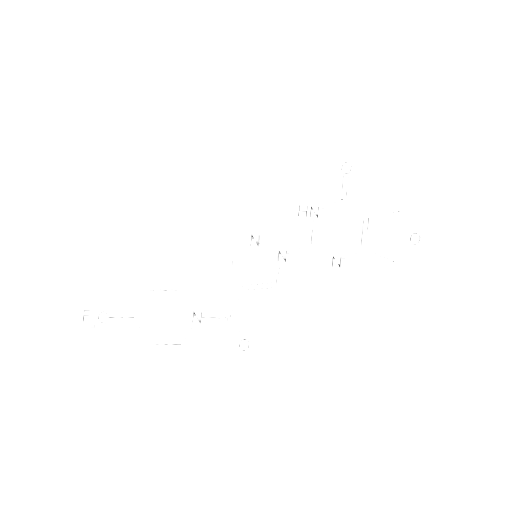 O=C(c1cnn(-c2nc3c(c(=O)[nH]2)COC3)c1)N1CCC(C(F)(F)F)CC1